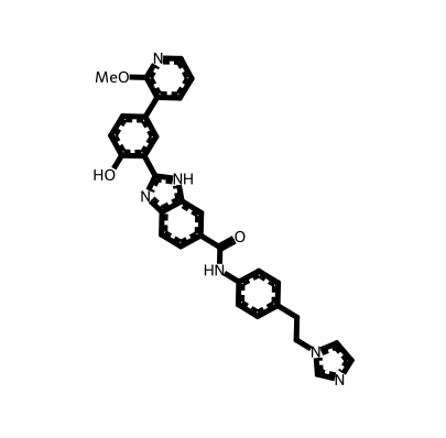 COc1ncccc1-c1ccc(O)c(-c2nc3ccc(C(=O)Nc4ccc(CCn5ccnc5)cc4)cc3[nH]2)c1